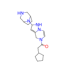 O=C(CC1CCCC1)N1C=CN2NC(N3C4CCC3CNC4)C=C2C1